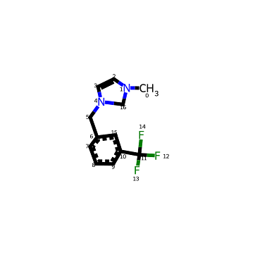 CN1C=CN(Cc2cccc(C(F)(F)F)c2)C1